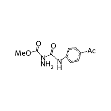 COC(=O)N(N)C(=O)Nc1ccc(C(C)=O)cc1